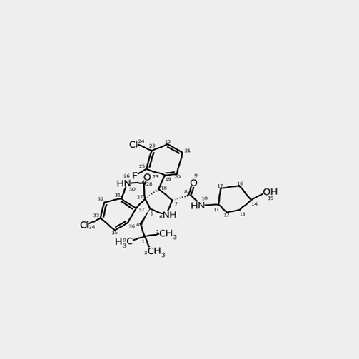 CC(C)(C)C[C@@H]1N[C@@H](C(=O)NC2CCC(O)CC2)C(c2cccc(Cl)c2F)[C@]12C(=O)Nc1cc(Cl)ccc12